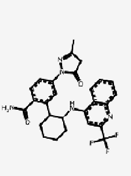 CC1=NN(c2ccc(C(N)=O)c(C3CCCC[C@@H]3Nc3cc(C(F)(F)F)nc4ccccc34)c2)C(=O)C1